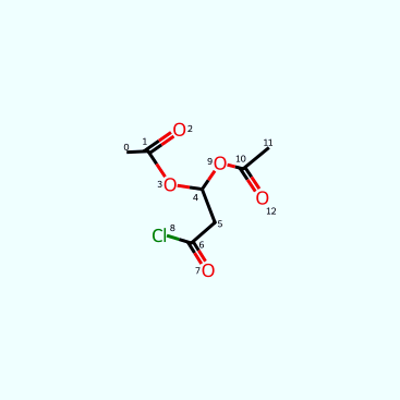 CC(=O)OC(CC(=O)Cl)OC(C)=O